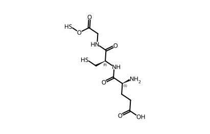 N[C@@H](CCC(=O)O)C(=O)N[C@@H](CS)C(=O)NCC(=O)OS